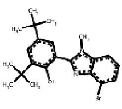 Cn1c(-c2cc(C(C)(C)C)cc(C(C)(C)C)c2O)nc2c(Br)cccc21